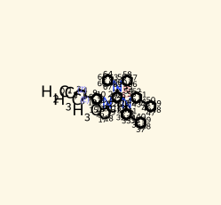 C=C=C/C=C\C(=C/C)c1ccc2c(c1)C1(C)CCCCC1(C)N2c1cc2c3c(c1)N(c1cccc(-c4ccccc4)c1)c1cc(-c4ccccc4)ccc1B3c1ccccc1N2c1ccccc1